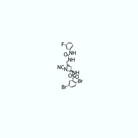 N#CN1C[C@H](NS(=O)(=O)c2cc(Br)ccc2Br)C[C@@H]1CNC(=O)Nc1cccc(F)c1